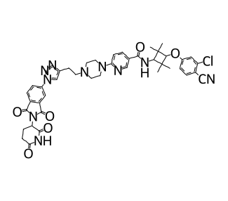 CC1(C)C(NC(=O)c2ccc(N3CCN(CCc4cn(-c5ccc6c(c5)C(=O)N(C5CCC(=O)NC5=O)C6=O)nn4)CC3)nc2)C(C)(C)C1Oc1ccc(C#N)c(Cl)c1